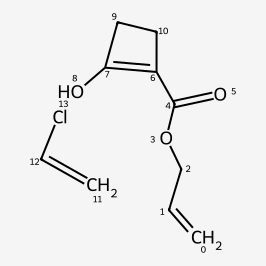 C=CCOC(=O)C1=C(O)CC1.C=CCl